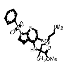 COCCOCC(C)(Nc1c([N+](=O)[O-])cnc2c1ccn2S(=O)(=O)c1ccccc1)C(=O)OC